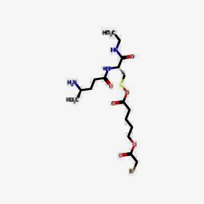 N[C@@H](CCC(=O)N[C@@H](CSOC(=O)CCCCOC(=O)CBr)C(=O)NCC(=O)O)C(=O)O